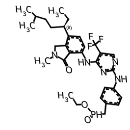 CCO[PH](=O)Cc1ccc(Nc2ncc(C(F)(F)F)c(Nc3ccc([C@H](CC)CCC(C)C)c4c3C(=O)N(C)C4)n2)cc1